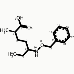 CCC(CC[C@@H](C)C(=O)O)NOCc1ccccc1